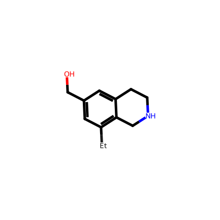 CCc1cc(CO)cc2c1CNCC2